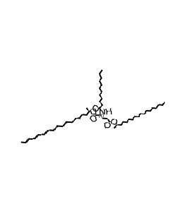 CCCCCCCCCCCCCCCCC(C)OC(=O)CC[C@@H](NC(=O)CCCCCCCCCCC)C(=O)OC(C)CCCCCCCCCCCCCCCC